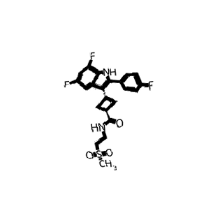 CS(=O)(=O)CCNC(=O)[C@H]1C[C@H](c2c(-c3ccc(F)cc3)[nH]c3c(F)cc(F)cc32)C1